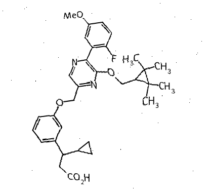 COc1ccc(F)c(-c2ncc(COc3cccc(C(CC(=O)O)C4CC4)c3)nc2OCC2C(C)(C)C2(C)C)c1